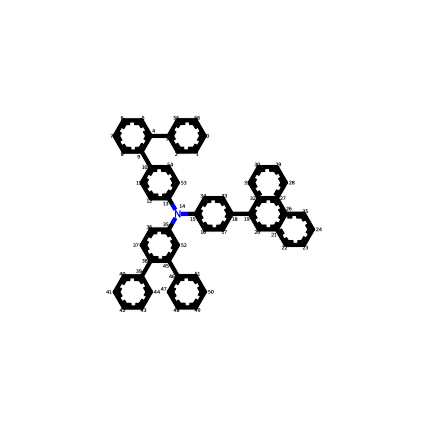 c1ccc(-c2ccccc2-c2ccc(N(c3ccc(-c4cc5ccccc5c5ccccc45)cc3)c3ccc(-c4ccccc4)c(-c4ccccc4)c3)cc2)cc1